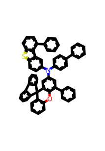 c1ccc(-c2ccc(N(c3cc(-c4ccccc4)c4c(c3)C3(c5ccccc5O4)c4ccccc4-c4ccccc43)c3ccc4sc5cccc(-c6ccccc6)c5c4c3)cc2)cc1